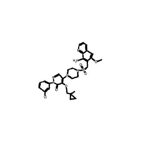 COc1cc2cccnc2c(N)c1CS(=O)(=O)N1CCN(c2cnn(-c3cccc(Cl)c3)c(=O)c2OCC2(C)CC2)CC1